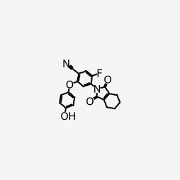 N#Cc1cc(F)c(N2C(=O)C3=C(CCCC3)C2=O)cc1Oc1ccc(O)cc1